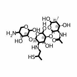 CC(=O)NC1[C@H](O[C@@H]2C(O)O[C@@H](O[C@@H]3C(O)OCC(N)[C@H]3O)C(NCC(C)S)[C@H]2O)OC(O)[C@H](C)[C@@H]1O